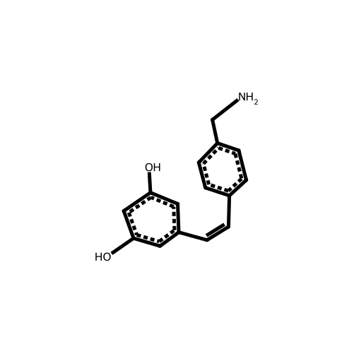 NCc1ccc(/C=C\c2cc(O)cc(O)c2)cc1